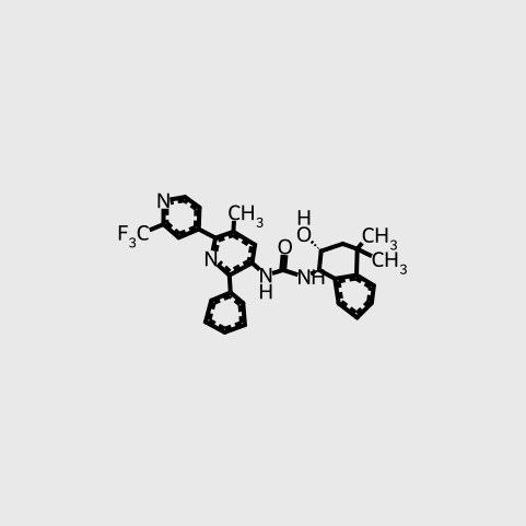 Cc1cc(NC(=O)N[C@@H]2c3ccccc3C(C)(C)C[C@H]2O)c(-c2ccccc2)nc1-c1ccnc(C(F)(F)F)c1